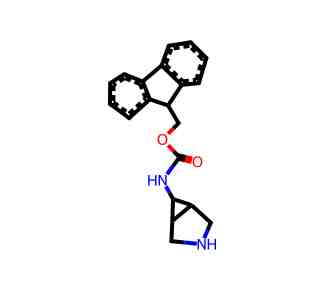 O=C(NC1C2CNCC21)OCC1c2ccccc2-c2ccccc21